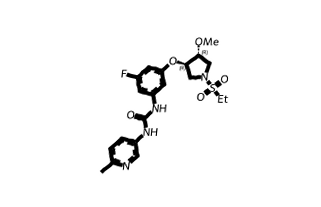 CCS(=O)(=O)N1C[C@@H](OC)[C@H](Oc2cc(F)cc(NC(=O)Nc3ccc(C)nc3)c2)C1